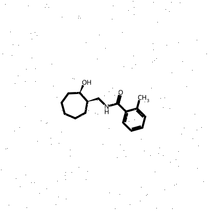 Cc1ccccc1C(=O)NC[C@H]1CCCCC[C@H]1O